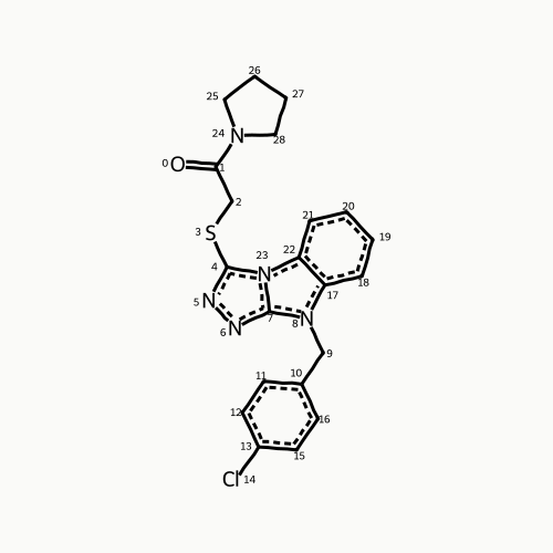 O=C(CSc1nnc2n(Cc3ccc(Cl)cc3)c3ccccc3n12)N1CCCC1